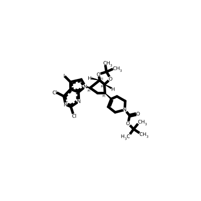 CC(C)(C)OC(=O)N1CC=C([C@H]2C[C@@H](n3cc(I)c4c(Cl)nc(Cl)nc43)[C@@H]3OC(C)(C)O[C@@H]32)CC1